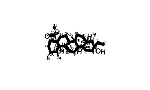 C=C[C@]1(O)CC[C@]2(C)[C@H]3CC=C4[C@@H]5[C@@H](C)[C@H](C)CC[C@]5(C(=O)OC)CC[C@@]4(C)[C@]3(C)CC[C@H]2[C@@H]1C